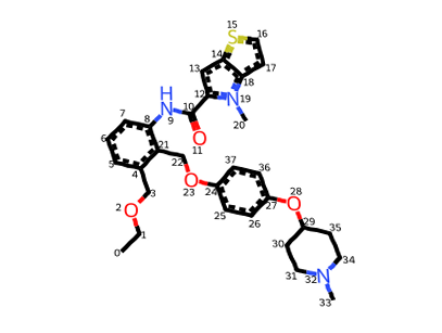 CCOCc1cccc(NC(=O)c2cc3sccc3n2C)c1COc1ccc(OC2CCN(C)CC2)cc1